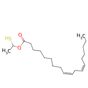 CCCCC/C=C\C/C=C\CCCCCCCC(=O)OC(C)S